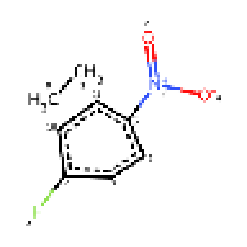 CC.O=[N+]([O-])c1ccc(F)cc1